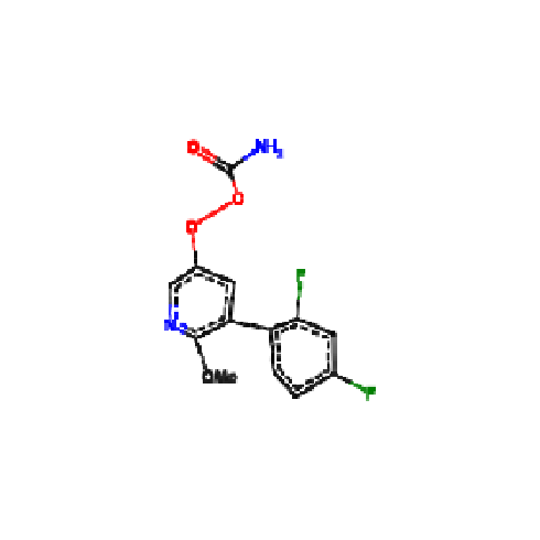 COc1ncc(OOC(N)=O)cc1-c1ccc(F)cc1F